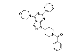 O=C(c1ccccc1)N1CCC(n2ncc3c(N4CCOCC4)nc(-c4cc[c]cc4)nc32)CC1